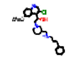 COc1ccc2ncc(Cl)c(C(O)CN3CCCC(CNCC=Cc4ccccc4)C3)c2c1